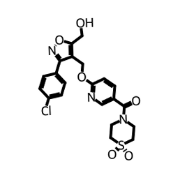 O=C(c1ccc(OCc2c(-c3ccc(Cl)cc3)noc2CO)nc1)N1CCS(=O)(=O)CC1